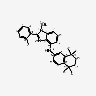 CCCCn1c(-c2ccccc2C)nc2c(Nc3ccc4c(c3)C(C)(C)CCC4(C)C)cccc21